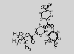 CC(C)(C)OC(=O)N1CCN(C(=O)C2CCS(=O)(=O)CC2)[C@H](c2cccc(F)c2F)C1